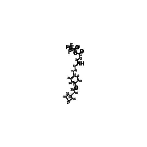 O=C(CCNCCCc1ccc(OCCC2CCCC2)cc1)OC(=O)C(F)(F)F